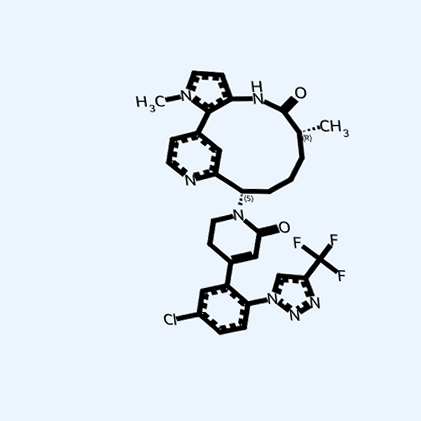 C[C@@H]1CCC[C@H](N2CCC(c3cc(Cl)ccc3-n3cc(C(F)(F)F)nn3)=CC2=O)c2cc(ccn2)-c2c(ccn2C)NC1=O